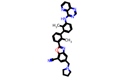 Cc1c(Nc2ncnc3cccnc23)cccc1-c1cccc(-c2nc3cc(CN4CCCC4)cc(C#N)c3o2)c1C